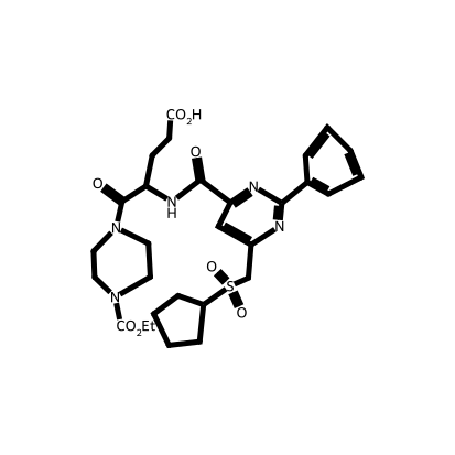 CCOC(=O)N1CCN(C(=O)C(CCC(=O)O)NC(=O)c2cc(CS(=O)(=O)C3CCCC3)nc(-c3ccccc3)n2)CC1